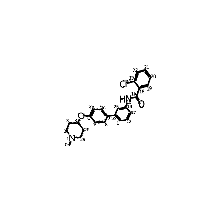 CN1CCC(Oc2ccc(-c3cccc(NC(=O)c4ccccc4Cl)c3)cc2)CC1